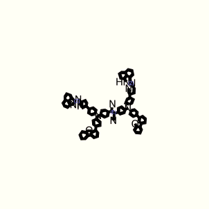 N#C/C(=C(/C#N)c1ccc(N(c2ccc(-c3ccc(/N=C4\Nc5cccc6cccc4c56)nc3)cc2)c2ccc(-c3cccc4c3oc3ccccc34)cc2)cc1)c1ccc(N(c2ccc(-c3ccc(/N=C4\Nc5cccc6cccc4c56)nc3)cc2)c2ccc(-c3cccc4c3oc3ccccc34)cc2)cc1